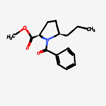 CCC[C@H]1CC[C@@H](C(=O)OC)N1C(=O)c1ccccc1